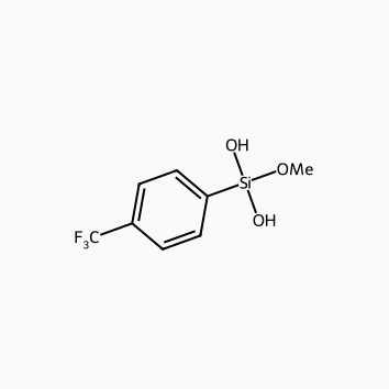 CO[Si](O)(O)c1ccc(C(F)(F)F)cc1